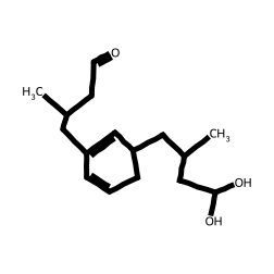 CC(CC=O)CC1=CC(CC(C)CC(O)O)CC=C1